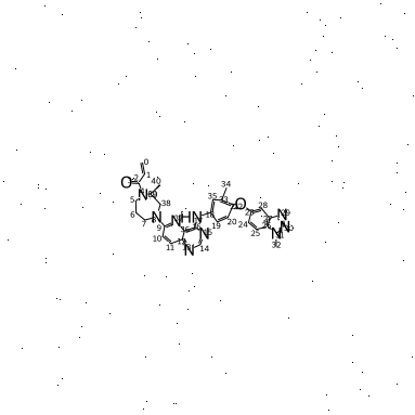 C=CC(=O)N1CCCN(c2ccc3ncnc(Nc4ccc(Oc5ccc6c(c5)nnn6C)c(C)c4)c3n2)C[C@@H]1C